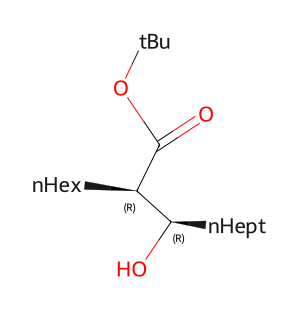 CCCCCCC[C@@H](O)[C@@H](CCCCCC)C(=O)OC(C)(C)C